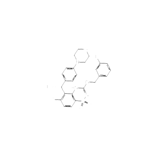 C[C@H](c1ccc(N2CCOCC2)cc1)c1c(F)ccc2c1NC(NCc1cccc(F)c1)=NS2(=O)=O